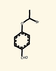 CC(Br)Oc1ccc(C=O)cc1